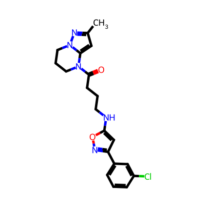 Cc1cc2n(n1)CCCN2C(=O)CCCNc1cc(-c2cccc(Cl)c2)no1